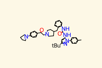 Cc1ccc(-n2nc(C(C)(C)C)cc2NC(=O)Nc2ccccc2CC2CCN(CC(=O)c3ccc(N4CCCC4)cc3)CC2)cc1